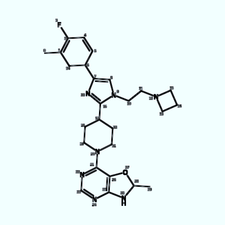 CC1=C(F)C=CC(c2cn(CCN3CCC3)c(C3CCN(c4ncnc5c4OC(C)N5)CC3)n2)C1